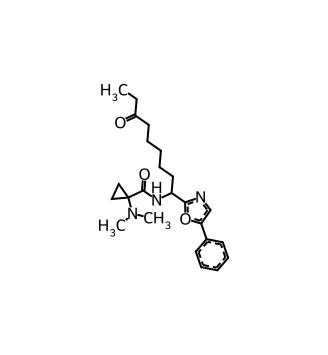 CCC(=O)CCCCCC(NC(=O)C1(N(C)C)CC1)c1ncc(-c2ccccc2)o1